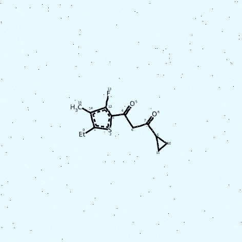 CCc1sc(C(=O)CC(=O)C2CC2)c(F)c1C